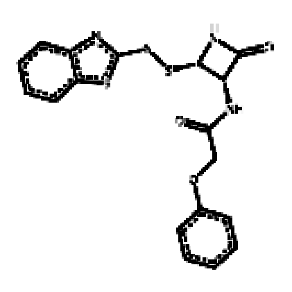 O=C(COc1ccccc1)N[C@@H]1C(=O)N[C@@H]1SSc1nc2ccccc2s1